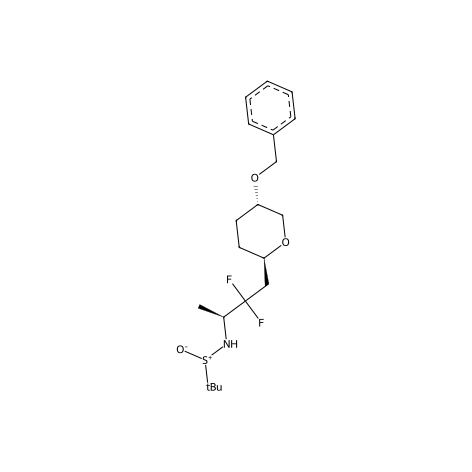 C[C@H](N[S+]([O-])C(C)(C)C)C(F)(F)C[C@H]1CC[C@H](OCc2ccccc2)CO1